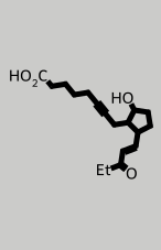 CCC(=O)C=CC1CCC(O)C1CC#CCCCCC(=O)O